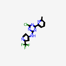 Cc1cccc(-c2nc(Cl)nc(Nc3ccnc(C(F)(F)F)c3)n2)n1